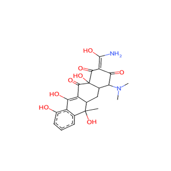 CN(C)C1C(=O)/C(=C(\N)O)C(=O)C2(O)C(=O)C3=C(O)c4c(O)cccc4C(C)(O)C3CC12